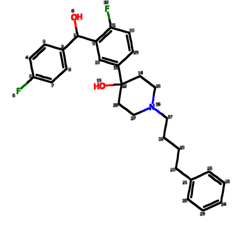 OC(c1ccc(F)cc1)c1cc(C2(O)CCN(CCCCc3ccccc3)CC2)ccc1F